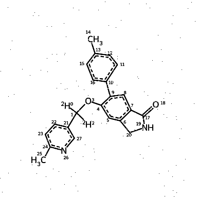 [2H]C([2H])(Oc1cc2c(cc1-c1ccc(C)cc1)C(=O)NC2)c1ccc(C)nc1